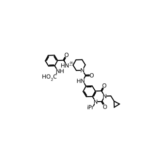 CC(C)n1c(=O)n(CC2CC2)c(=O)c2cc(NC(=O)N3CCC[C@@H](NC(=O)c4ccccc4NC(=O)O)C3)ccc21